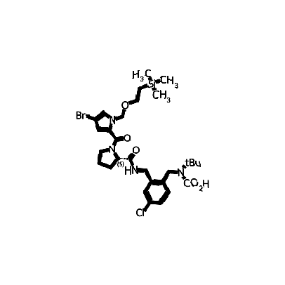 CC(C)(C)N(Cc1ccc(Cl)cc1CNC(=O)[C@@H]1CCCN1C(=O)c1cc(Br)cn1COCC[Si](C)(C)C)C(=O)O